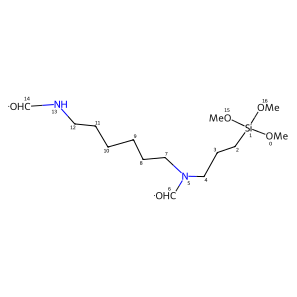 CO[Si](CCCN([C]=O)CCCCCCN[C]=O)(OC)OC